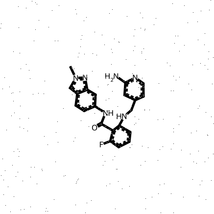 Cn1cc2ccc(NC(=O)c3c(F)cccc3NCc3ccnc(N)c3)cc2n1